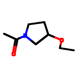 CCOC1CCN(C(C)=O)C1